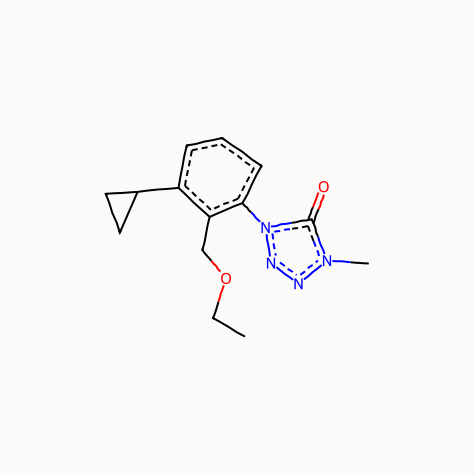 CCOCc1c(C2CC2)cccc1-n1nnn(C)c1=O